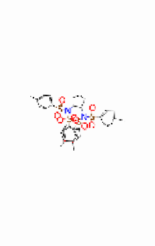 Cc1ccc(S(=O)(=O)N(C2CCCC2N(S(=O)(=O)c2ccc(C)cc2)S(=O)(=O)c2ccc(C)cc2)S(=O)(=O)c2ccc(C)cc2)cc1